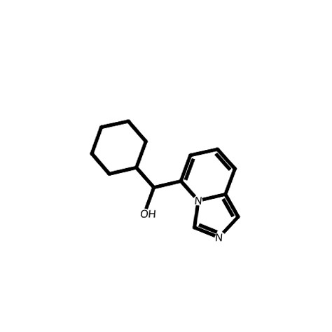 OC(c1cccc2cncn12)C1CCCCC1